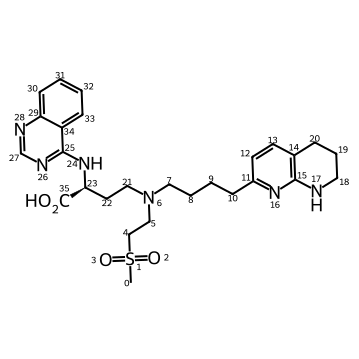 CS(=O)(=O)CCN(CCCCc1ccc2c(n1)NCCC2)CC[C@H](Nc1ncnc2ccccc12)C(=O)O